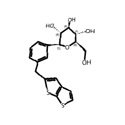 OC[C@H]1O[C@@H](c2cccc(Cc3cc4ccsc4s3)c2)[C@H](O)[C@@H](O)[C@@H]1O